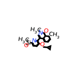 CC1C=CC=C2C(c3nc([Si](C)=O)ccc3OCC3CC3)=CN(C)C(=O)C21